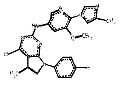 COc1cc(Nc2nc(Cl)c3c(n2)N(c2ccc(F)cc2)CC3C)cnc1-n1cnc(C)c1